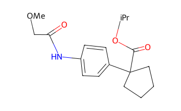 COCC(=O)Nc1ccc(C2(C(=O)OC(C)C)CCCC2)cc1